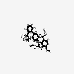 CCOc1nc2c(CC)ccc(C(=O)OC)c2n1-c1ccc(-c2ccccc2-c2nnn[nH]2)cc1